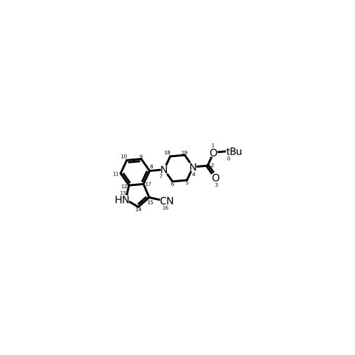 CC(C)(C)OC(=O)N1CCN(c2cccc3[nH]cc(C#N)c23)CC1